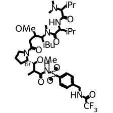 CCC(C)C(C(CC(=O)N1CCC[C@H]1C(OC)C(C)C(=O)NS(=O)(=O)c1ccc(CNC(=O)C(F)(F)F)cc1)OC)N(C)C(=O)C(NC(=O)C(C(C)C)N(C)C)C(C)C